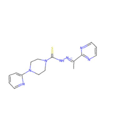 C/C(=N\NC(=S)N1CCN(c2ccccn2)CC1)c1ncccn1